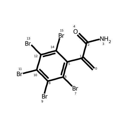 C=C(C(N)=O)c1c(Br)c(Br)c(Br)c(Br)c1Br